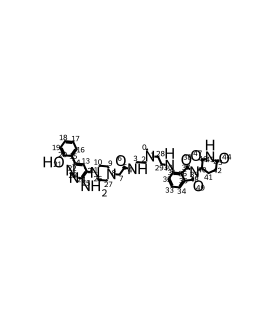 CN(CCNC(=O)CN1CCN(c2cc(-c3ccccc3O)nnc2N)CC1)CCNc1cccc2c1C(=O)N(C1CCC(=O)NC1=O)C2=O